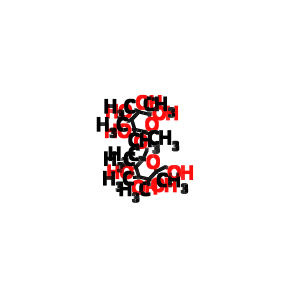 CC1(O)OC(C)(OCC2(C)OC(C)(CO)C(C)(O)C(C)(O)C2(C)O)C(C)(O)C(C)(O)C1(C)O